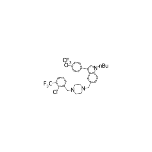 CCCCn1cc(-c2ccc(OC(F)(F)F)cc2)c2cc(CN3CCN(Cc4cccc(C(F)(F)F)c4Cl)CC3)ccc21